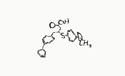 COc1ccc(SC(CC(=O)O)Cc2ccc(-c3ccccc3)cc2)cc1